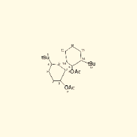 CC(=O)OC1CCC(C(C)(C)C)CC1.CC(=O)OC1CCCCC1C(C)(C)C